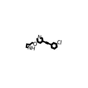 Clc1cccc(C#Cc2cncc(OCC3CCN3)c2)c1